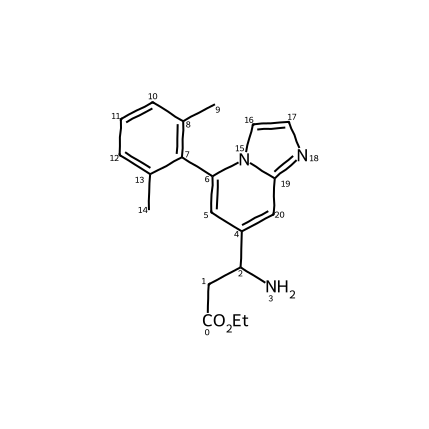 CCOC(=O)CC(N)c1cc(-c2c(C)cccc2C)n2ccnc2c1